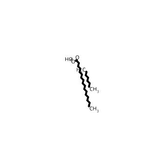 CCCCCCCC.CCCCCCCCCCCCCCCCCC(=O)OO